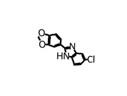 Clc1ccc2[nH]c(-c3ccc4c(c3)OCO4)nc2c1